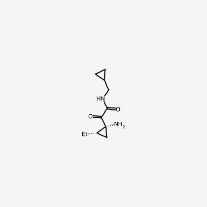 CC[C@H]1C[C@]1(N)C(=O)C(=O)NCC1CC1